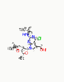 CC[C@H]1O[C@@H](n2cc(CO)c3c(Cl)nc(N[Si](C)(C)C(C)(C)C)nc32)CC1O[Si](C)(C)C(C)(C)C